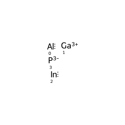 [Al].[Ga+3].[In].[P-3]